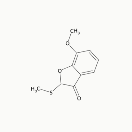 COc1cccc2c1OC(SC)C2=O